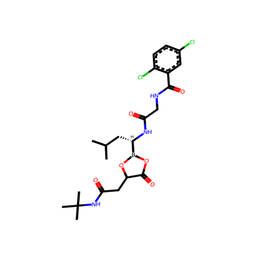 CC(C)C[C@H](NC(=O)CNC(=O)c1cc(Cl)ccc1Cl)B1OC(=O)C(CC(=O)NC(C)(C)C)O1